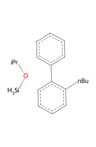 CC(C)O[SiH3].CCCCc1ccccc1-c1ccccc1